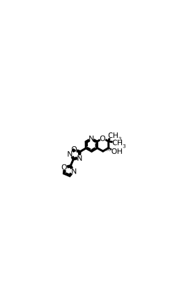 CC1(C)Oc2ncc(-c3nc(-c4ncco4)no3)cc2C[C@@H]1O